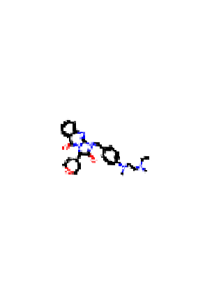 CCN(C)CCN(C)c1ccc(CN2C(=O)C(C3CCOCC3)n3c2nc2ccccc2c3=O)cc1